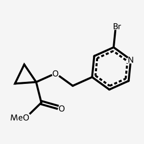 COC(=O)C1(OCc2ccnc(Br)c2)CC1